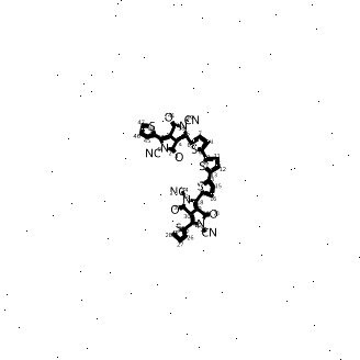 N#CN1C(=O)C2=C(c3ccc(-c4ccc(-c5ccc(C6=C7C(=O)N(C#N)C(c8cccs8)=C7C(=O)N6C#N)s5)s4)s3)N(C#N)C(=O)C2=C1c1cccs1